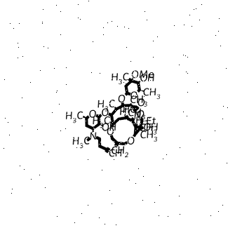 C#CCCN(C)[C@H]1C[C@@H](C)OC(OC2[C@@H](C)C(OC3C[C@@](C)(OC)[C@@H](O)[C@H](C)O3)[C@@H](C)C(=O)O[C@H](CC)[C@@](C)(O)C3OCC(=C)CO[C@]2(C)C[C@@H](C)/C(=N\O)[C@@H]3C)[C@@H]1O